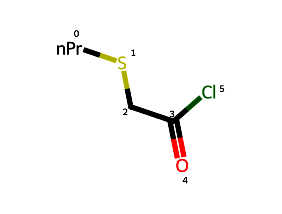 CCCSCC(=O)Cl